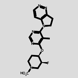 Cc1c(O[C@@H]2CCN(C(=O)O)C[C@@H]2F)ncnc1N1CCc2nnccc21